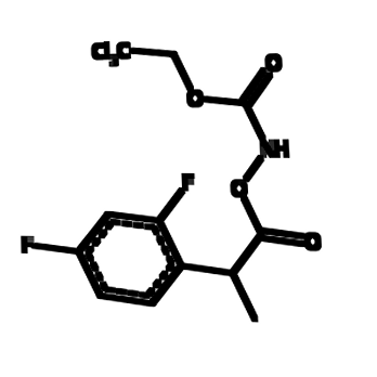 CC(C(=O)ONC(=O)OCC(Cl)(Cl)Cl)c1ccc(F)cc1F